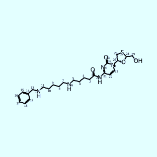 O=C(CCCCNCCCCCNCc1ccccc1)Nc1ccn(C2CSC(CO)O2)c(=O)n1